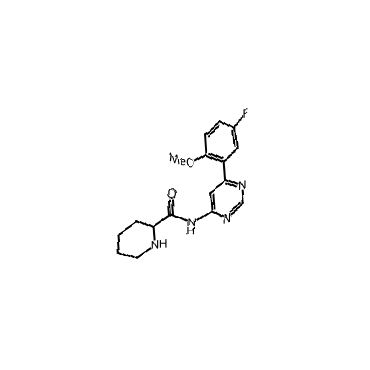 COc1ccc(F)cc1-c1cc(NC(=O)C2CCCCN2)ncn1